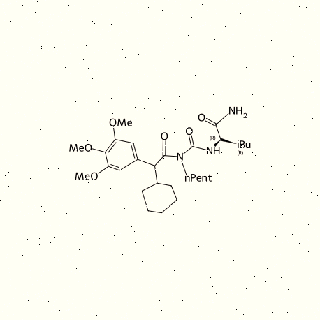 CCCCCN(C(=O)N[C@@H](C(N)=O)[C@H](C)CC)C(=O)C(c1cc(OC)c(OC)c(OC)c1)C1CCCCC1